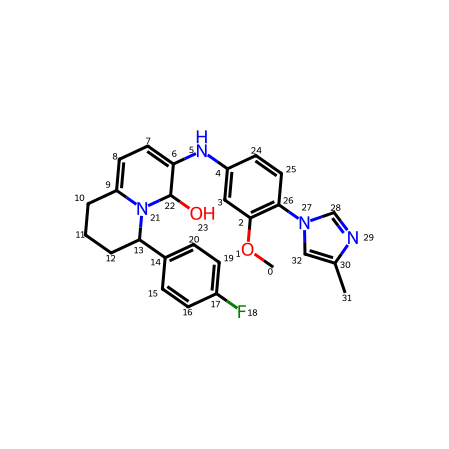 COc1cc(NC2=CC=C3CCCC(c4ccc(F)cc4)N3C2O)ccc1-n1cnc(C)c1